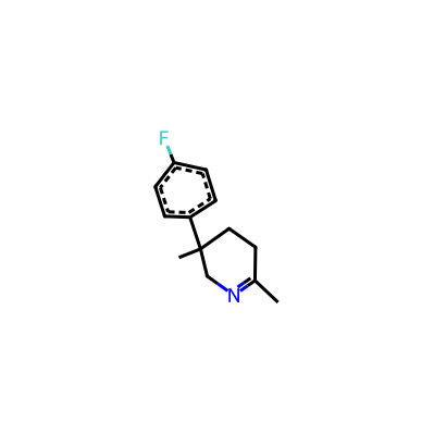 CC1=NCC(C)(c2ccc(F)cc2)CC1